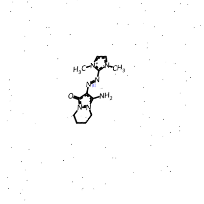 Cn1cc[n+](C)c1/N=N/c1c(N)n2n(c1=O)CCCC2